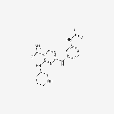 CC(=O)Nc1cccc(Nc2ncc(C(N)=O)c(NC3CCCNC3)n2)c1